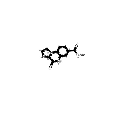 COC(=O)c1ccc2c(c1)[nH]c(=O)c1nccn12